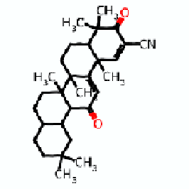 CC1(C)CCC2CCC3(C)C(C(=O)C=C4C5(C)C=C(C#N)C(=O)C(C)(C)C5CCC43C)C2C1